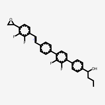 CCCC(O)c1ccc(-c2ccc(-c3ccc(/C=C/c4ccc(C5CO5)c(F)c4F)cc3)c(F)c2F)cc1